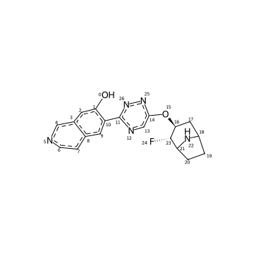 Oc1cc2cnccc2cc1-c1ncc(O[C@H]2CC3CCC(N3)[C@@H]2F)nn1